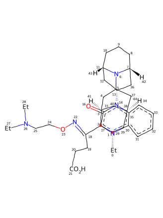 CC[C@@H]1C[C@H]2CC(N3[C@@H]4CCC[C@H]3C[C@@H](n3c(=O)c(/C(CCC(=O)O)=N/OCCN(CC)CC)nc5ccccc53)C4)C[C@@H](C1)C2